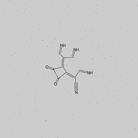 N#C/C(C=N)=c1\c(=O)c(=O)c1=C(C=N)C=N